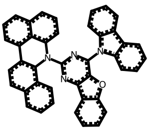 c1ccc2c3c(ccc2c1)-c1cccc2cccc(c12)N3c1nc(-n2c3ccccc3c3ccccc32)c2oc3ccccc3c2n1